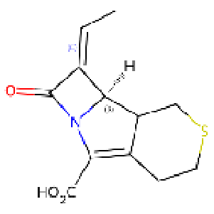 C/C=C1/C(=O)N2C(C(=O)O)=C3CCSCC3[C@H]12